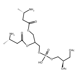 CC(=O)OC[C@H](COP(=O)(O)OCC(COC(=O)C[C@H](C)N)OC(=O)C[C@H](C)N)OC(C)=O